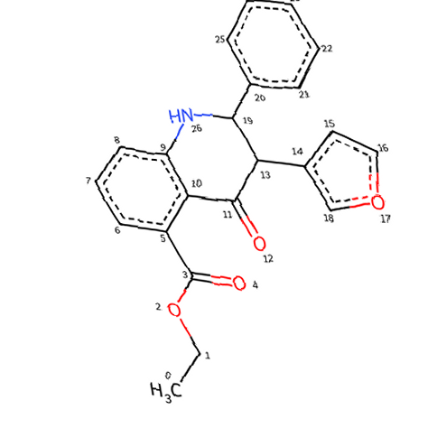 CCOC(=O)c1cccc2c1C(=O)C(c1ccoc1)C(c1ccccc1)N2